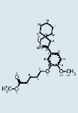 COC(=O)CCCCOc1cc(C2=NOC3(CCCCC3)C2)ccc1OC